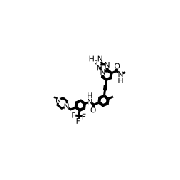 CNC(=O)c1cc(C#Cc2cc(C(=O)Nc3ccc(CN4CCN(C)CC4)c(C(F)(F)F)c3)ccc2C)cn2nc(N)nc12